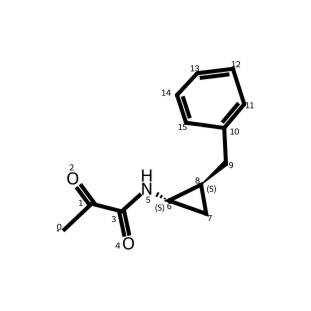 [CH2]C(=O)C(=O)N[C@H]1C[C@@H]1Cc1ccccc1